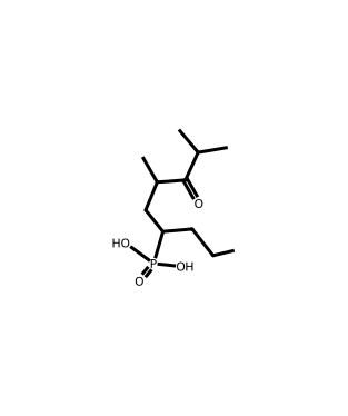 CCCC(CC(C)C(=O)C(C)C)P(=O)(O)O